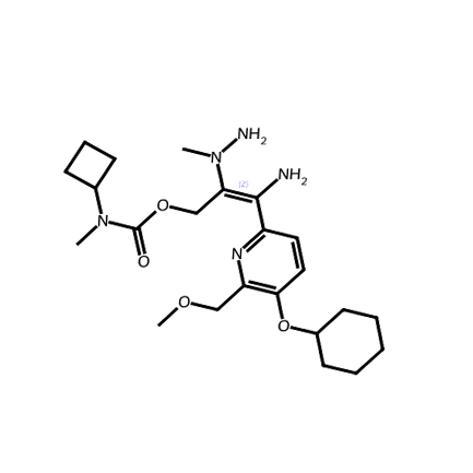 COCc1nc(/C(N)=C(\COC(=O)N(C)C2CCC2)N(C)N)ccc1OC1CCCCC1